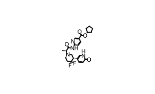 C[C@@H](C(=O)Nc1ccc(C(=O)OC2CCCC2)cn1)N1CCC(F)(F)[C@@H](c2ccc(=O)[nH]c2)C1